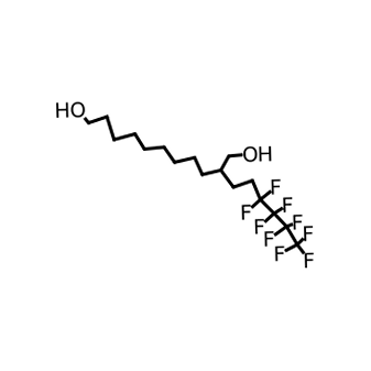 OCCCCCCCCCC(CO)CCC(F)(F)C(F)(F)C(F)(F)C(F)(F)F